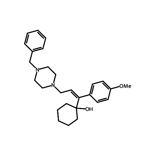 COc1ccc(C(=CCN2CCN(Cc3ccccc3)CC2)C2(O)CCCCC2)cc1